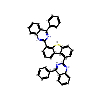 c1ccc(-c2nc(-c3cccc4c3sc3cccc(-c5nc(-c6ccccc6)c6ccccc6n5)c34)nc3ccccc23)cc1